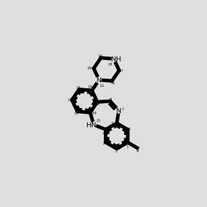 Cc1ccc2c(c1)N=Cc1c(cccc1N1CCNCC1)N2